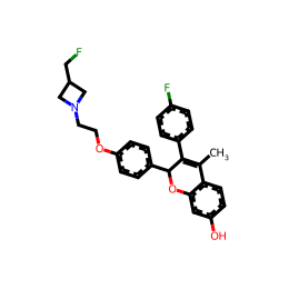 CC1=C(c2ccc(F)cc2)C(c2ccc(OCCN3CC(CF)C3)cc2)Oc2cc(O)ccc21